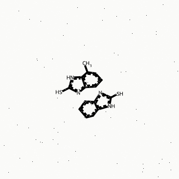 Cc1cccc2nc(S)[nH]c12.Sc1nc2ccccc2[nH]1